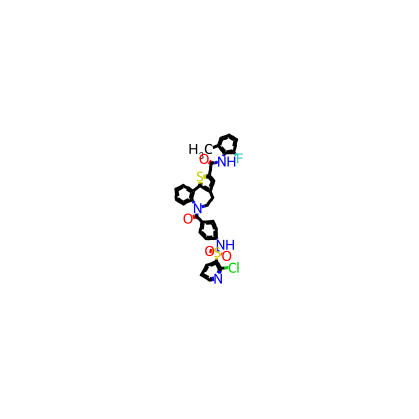 Cc1cccc(F)c1NC(=O)c1cc2c(s1)-c1ccccc1N(C(=O)c1ccc(NS(=O)(=O)c3cccnc3Cl)cc1)CC2